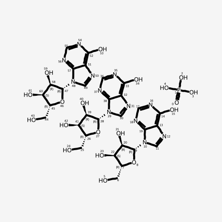 O=P(O)(O)O.OC[C@H]1O[C@@H](n2cnc3c(O)ncnc32)[C@H](O)[C@@H]1O.OC[C@H]1O[C@@H](n2cnc3c(O)ncnc32)[C@H](O)[C@@H]1O.OC[C@H]1O[C@@H](n2cnc3c(O)ncnc32)[C@H](O)[C@@H]1O